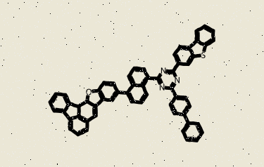 C1=C2c3cc(-c4cccc5c(-c6nc(-c7ccc(-c8ccccc8)cc7)nc(-c7ccc8c(c7)sc7ccccc78)n6)cccc45)ccc3OC2C2c3ccccc3-c3cccc1c32